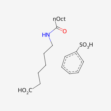 CCCCCCCCC(=O)NCCCCCC(=O)O.O=S(=O)(O)c1ccccc1